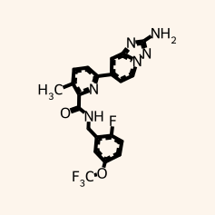 Cc1ccc(-c2ccn3nc(N)nc3c2)nc1C(=O)NCc1cc(OC(F)(F)F)ccc1F